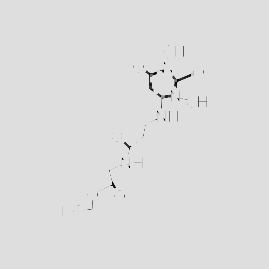 CCOC(=O)CNC(=O)CCNc1cc(=O)n(C)c(=O)n1C